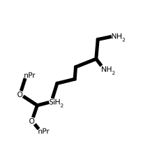 CCCOC(OCCC)[SiH2]CCCC(N)CN